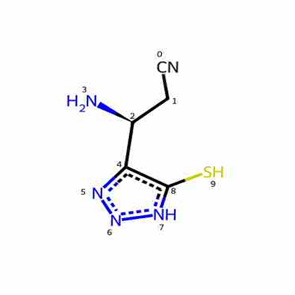 N#CC[C@H](N)c1nn[nH]c1S